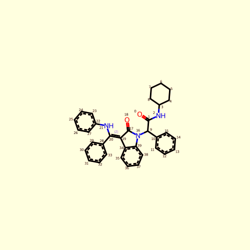 O=C(NC1CCCCC1)C(c1ccccc1)N1C(=O)/C(=C(\Nc2ccccc2)c2ccccc2)c2ccccc21